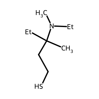 CCN(C)C(C)(CC)CCS